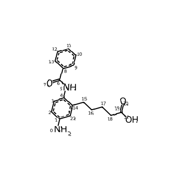 Nc1ccc(NC(=O)c2ccccc2)c(CCCCC(=O)O)c1